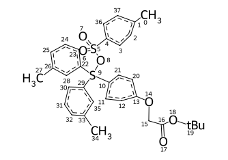 Cc1ccc(S(=O)(=O)OS(c2ccc(OCC(=O)OC(C)(C)C)cc2)(c2cccc(C)c2)c2cccc(C)c2)cc1